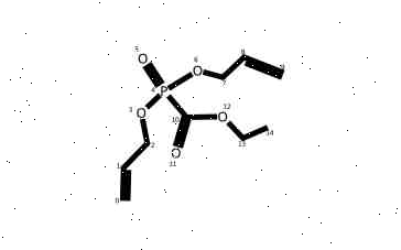 C=CCOP(=O)(OCC=C)C(=O)OCC